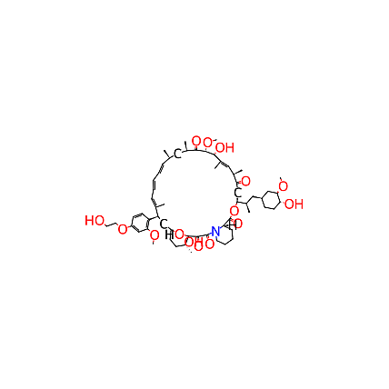 COc1cc(OCCO)ccc1[C@@H]1C[C@@H]2CC[C@@H](C)[C@@](O)(O2)C(=O)C(=O)N2CCCC[C@H]2C(=O)O[C@H]([C@H](C)C[C@@H]2CC[C@@H](O)[C@H](OC)C2)CC(=O)[C@H](C)/C=C(\C)[C@@H](O)[C@@H](OC)C(=O)[C@H](C)C[C@H](C)/C=C/C=C/C=C/1C